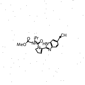 C#Cc1ccc2nc(C3=CCCN3C(=O)[C@H](NC(=O)OC)C(C)C)[nH]c2c1